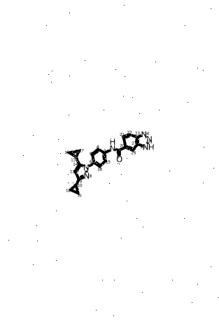 O=C(Nc1ccc(-n2nc(C3CC3)cc2C2CC2)cc1)c1ccc2nn[nH]c2c1